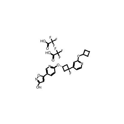 O=C(O)C(F)(F)F.O=C(O)C(F)(F)F.Oc1cc(-c2ccc(O[C@H]3C[C@@](F)(c4ccnc(OC5CCC5)c4)C3)nc2)on1